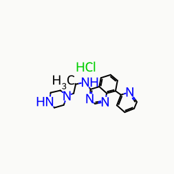 CC(CN1CCNCC1)Nc1ncnc2c(-c3ccccn3)cccc12.Cl